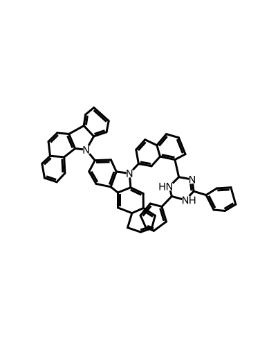 C1=CCC2C=c3c(n(-c4ccc5cccc(C6N=C(c7ccccc7)NC(c7ccccc7)N6)c5c4)c4cc(-n5c6ccccc6c6ccc7ccccc7c65)ccc34)=CC2=C1